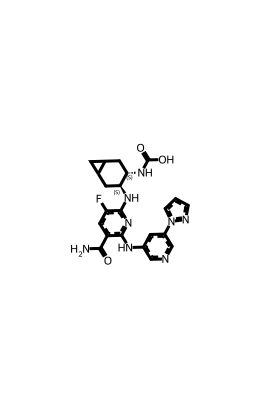 NC(=O)c1cc(F)c(N[C@H]2CC3CC3C[C@@H]2NC(=O)O)nc1Nc1cncc(-n2cccn2)c1